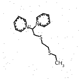 CCSCCSCC([n+]1ccccc1)[n+]1ccccc1